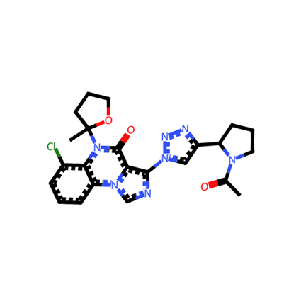 CC(=O)N1CCCC1c1cn(-c2ncn3c2c(=O)n(C2(C)CCCO2)c2c(Cl)cccc23)nn1